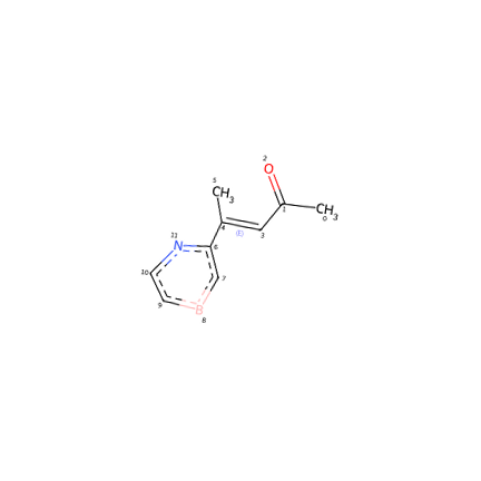 CC(=O)/C=C(\C)c1cbccn1